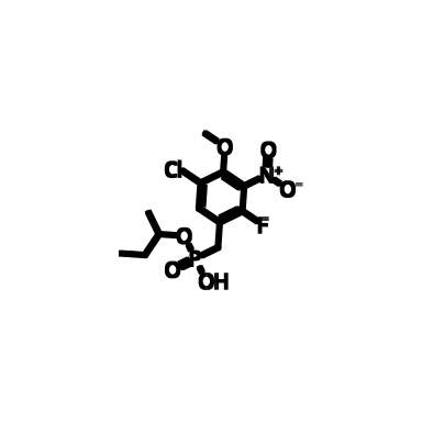 CCC(C)OP(=O)(O)Cc1cc(Cl)c(OC)c([N+](=O)[O-])c1F